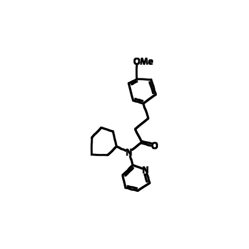 COc1ccc(CCC(=O)N(c2ccccn2)C2CCCCC2)cc1